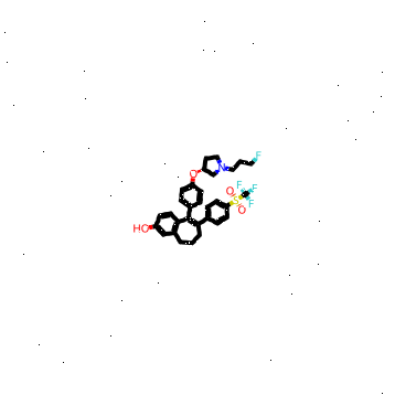 O=S(=O)(c1ccc(C2=C(c3ccc(O[C@H]4CCN(CCCF)C4)cc3)c3ccc(O)cc3CCC2)cc1)C(F)(F)F